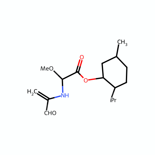 C=C(C=O)NC(OC)C(=O)OC1CC(C)CCC1C(C)C